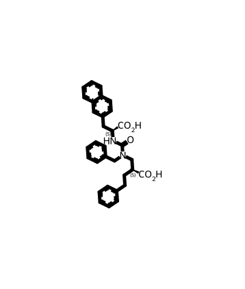 O=C(O)[C@@H](CCc1ccccc1)CN(Cc1ccccc1)C(=O)N[C@@H](Cc1ccc2ccccc2c1)C(=O)O